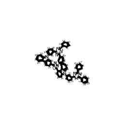 c1ccc(-c2nc(-c3ccccc3)nc(-c3cccc(-n4c5ccccc5c5ccc(-c6nnc(-c7cccc8c7c7ccccc7n8-c7cccc(-c8nc(-c9ccccc9)nc(-c9ccccc9)n8)c7)o6)cc54)c3)n2)cc1